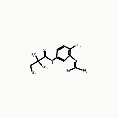 CCC(C)/C(N)=N\c1cc(NC(=O)C(C)(C)CC(C)(C)C)ccc1C